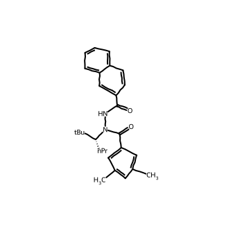 CCC[C@@H](N(NC(=O)c1ccc2ccccc2c1)C(=O)c1cc(C)cc(C)c1)C(C)(C)C